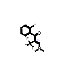 CN(C)/C=C(/C(=O)c1ccccc1F)C(F)(F)F